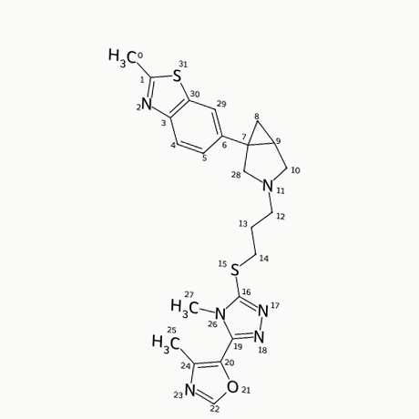 Cc1nc2ccc(C34CC3CN(CCCSc3nnc(-c5ocnc5C)n3C)C4)cc2s1